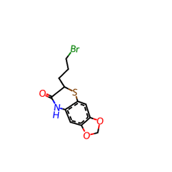 O=C1Nc2cc3c(cc2SC1CCCBr)OCO3